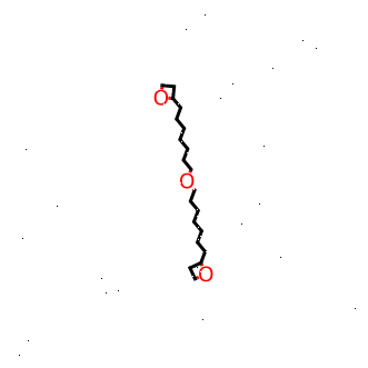 C(CCCOCCCCCCCC1CCO1)CCCC1CCO1